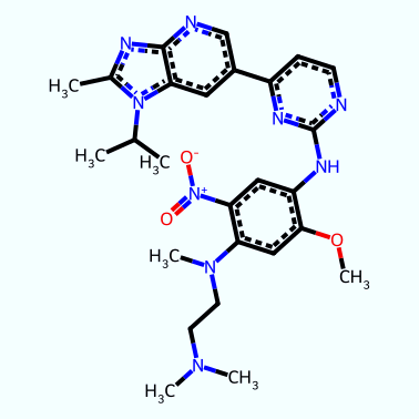 COc1cc(N(C)CCN(C)C)c([N+](=O)[O-])cc1Nc1nccc(-c2cnc3nc(C)n(C(C)C)c3c2)n1